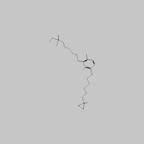 CCC(C)(C)CCCCCCc1c(O)ccc(CCCCCCC2(C)CC2)c1O